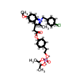 CCOP(=O)(OCC)OCCc1ccc(OC(=O)Cc2c(C)n(Cc3ccc(Cl)cc3)c3ccc(OC)cc23)cc1